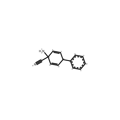 N#CC1(N)C=CC(c2ccccc2)C=C1